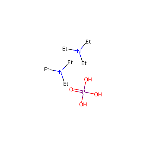 CCN(CC)CC.CCN(CC)CC.O=P(O)(O)O